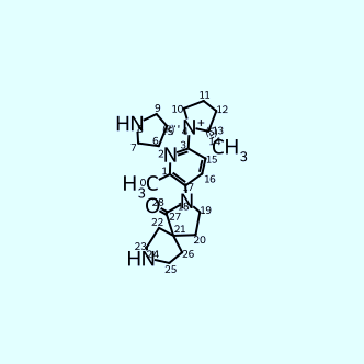 Cc1nc([N+]2([C@@H]3CCNC3)CCC[C@@H]2C)ccc1N1CCC2(CCNCC2)C1=O